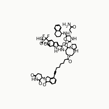 NC(=O)CC[C@H](NC(=O)[C@@H]1CC[C@@H]2CCN(C(=O)CCCCCC#Cc3cccc4c3CN(C3CCC(=O)NC3=O)C4=O)C[C@H](NC(=O)c3cc4cc(C(F)(F)P(=O)(O)O)ccc4[nH]3)C(=O)N21)C(=O)N[C@H]1CCCc2ccccc21